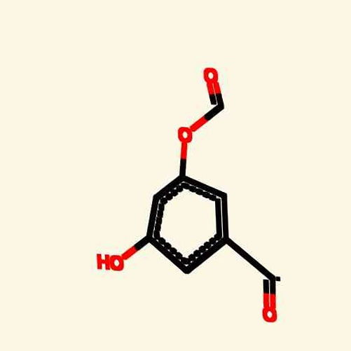 O=[C]c1cc(O)cc(OC=O)c1